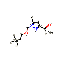 COC(=O)c1cc(C)n(COCC[Si](C)(C)C)n1